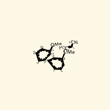 C=CC#N.COc1ccccc1.COc1ccccc1